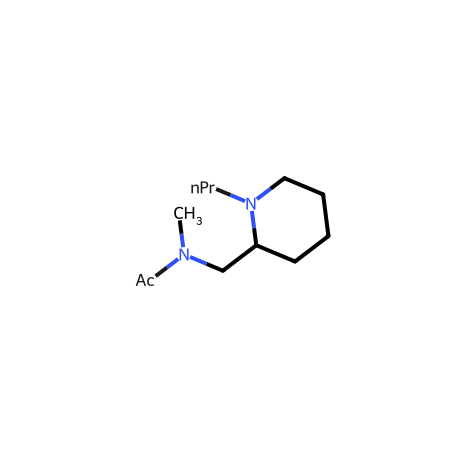 CCCN1CCCCC1CN(C)C(C)=O